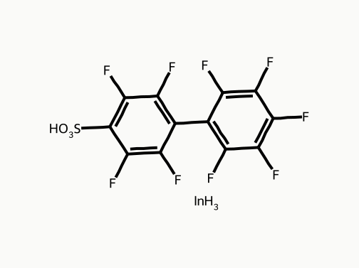 O=S(=O)(O)c1c(F)c(F)c(-c2c(F)c(F)c(F)c(F)c2F)c(F)c1F.[InH3]